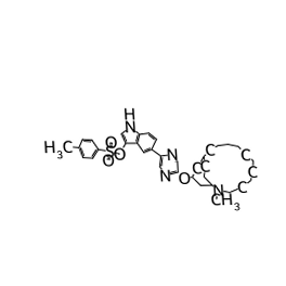 Cc1ccc(S(=O)(=O)Oc2c[nH]c3ccc(-c4cnc(OC5CC6CCCCCCCCCCN(C)C(CC6)C5)cn4)cc23)cc1